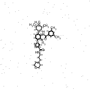 Cc1cc(C)cc(C(=O)Nc2c(N3C[C@@H](C)N(C)[C@@H](C)C3)ccc(-n3cc(C(=O)NCCCN4CCOCC4)nn3)c2C)c1